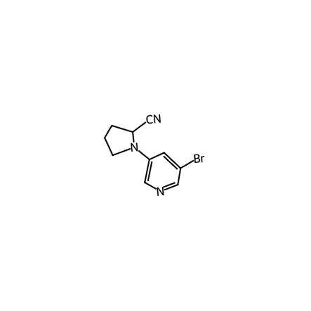 N#CC1CCCN1c1cncc(Br)c1